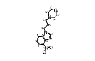 O=[N+]([O-])c1cccc2c1ccn2CCCN1CCOCC1